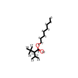 CCCCCCCCOC(=O)C(C(C)C)C(C)(C)C